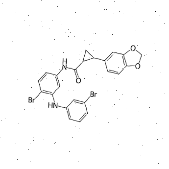 O=C(Nc1ccc(Br)c(Nc2cccc(Br)c2)c1)C1CC1c1ccc2c(c1)OCO2